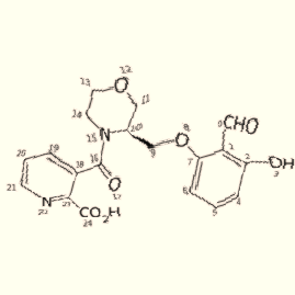 O=Cc1c(O)cccc1OC[C@@H]1COCCN1C(=O)c1cccnc1C(=O)O